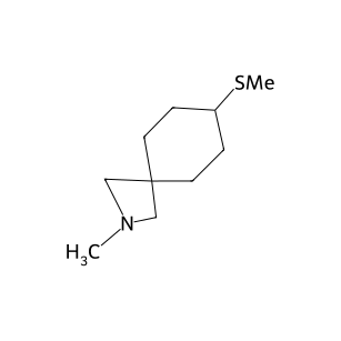 CSC1CCC2(CC1)CN(C)C2